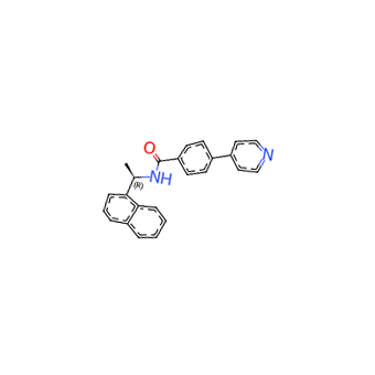 C[C@@H](NC(=O)c1ccc(-c2ccncc2)cc1)c1cccc2ccccc12